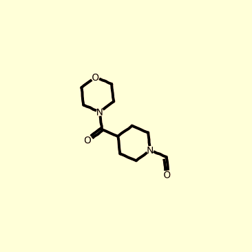 O=CN1CCC(C(=O)N2CCOCC2)CC1